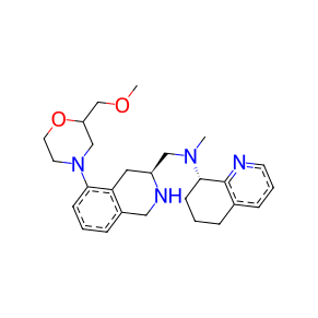 COCC1CN(c2cccc3c2C[C@@H](CN(C)[C@H]2CCCc4cccnc42)NC3)CCO1